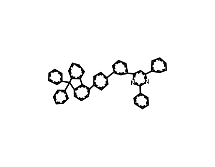 c1ccc(-c2cc(-c3cccc(-c4ccc(-c5cccc6c5-c5ccccc5C6(c5ccccc5)c5ccccc5)cc4)c3)nc(-c3ccccc3)n2)cc1